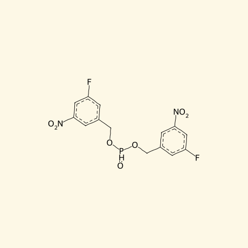 O=[N+]([O-])c1cc(F)cc(CO[PH](=O)OCc2cc(F)cc([N+](=O)[O-])c2)c1